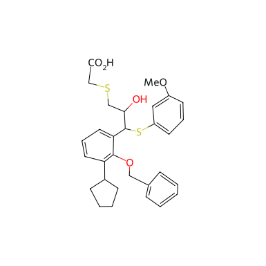 COc1cccc(SC(c2cccc(C3CCCC3)c2OCc2ccccc2)C(O)CSCC(=O)O)c1